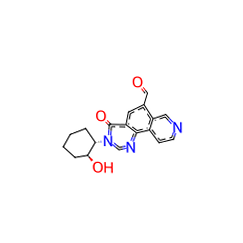 O=Cc1cc2c(=O)n([C@H]3CCCC[C@@H]3O)cnc2c2ccncc12